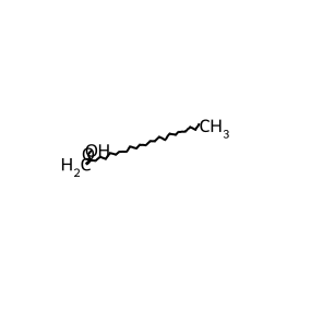 C=C(CCCCCCCCCCCCCCCCCCCCCCC)OO